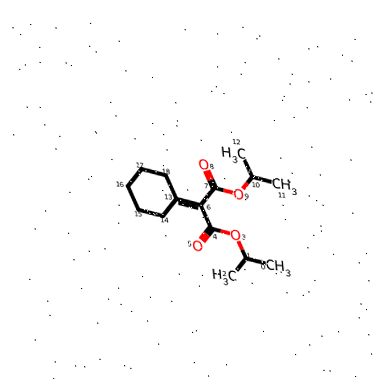 CC(C)OC(=O)C(C(=O)OC(C)C)=C1CCCCC1